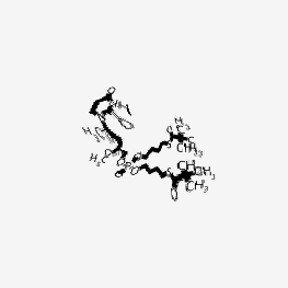 CO[C@H](COP(=O)(OCCCCSC(=O)C(C)(C)C)OCCCCSC(=O)C(C)(C)C)C[C@H](C)n1ccc(=O)[nH]c1=O